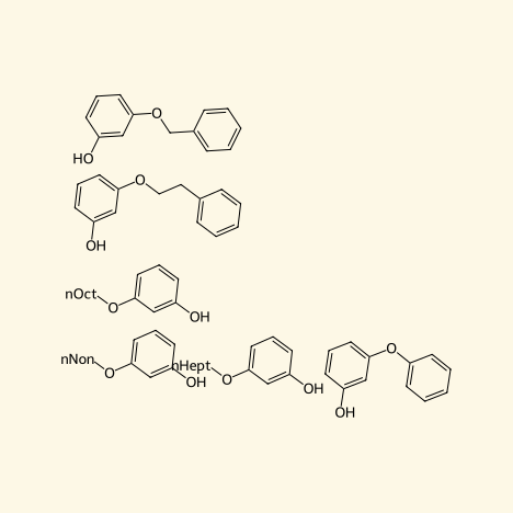 CCCCCCCCCOc1cccc(O)c1.CCCCCCCCOc1cccc(O)c1.CCCCCCCOc1cccc(O)c1.Oc1cccc(OCCc2ccccc2)c1.Oc1cccc(OCc2ccccc2)c1.Oc1cccc(Oc2ccccc2)c1